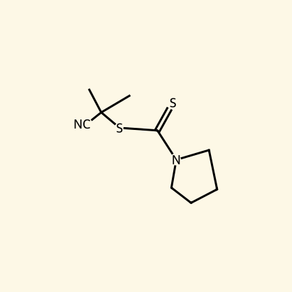 CC(C)(C#N)SC(=S)N1CCCC1